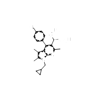 Cc1nc2c(c(C)c(C)n2CC2CC2)c(-c2ccc(Cl)cc2)c1[C@@H](OC(C)(C)C)C(=O)O